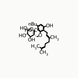 CCCCc1cc(O)c(C/C=C(\C)CCC=C(C)C)c(OC[C@H]2CO[C@H](O)[C@@H](O)[C@@H]2O)c1C(=O)O